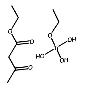 CCOC(=O)CC(C)=O.CC[O][Ti]([OH])([OH])[OH]